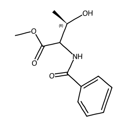 COC(=O)C(NC(=O)c1ccccc1)[C@@H](C)O